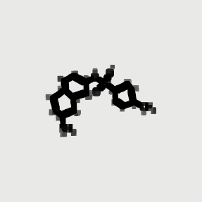 Cc1ccc(S(=O)(=O)Oc2ccc3ccc(N)cc3c2)cc1